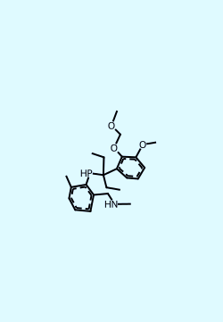 CCC(CC)(Pc1c(C)cccc1CNC)c1cccc(OC)c1OCOC